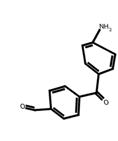 Nc1ccc(C(=O)c2ccc(C=O)cc2)cc1